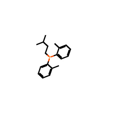 Cc1ccccc1P(CCC(C)C)c1ccccc1C